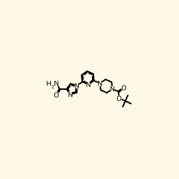 CC(C)(C)OC(=O)N1CCN(c2cccc(-n3cnc(C(N)=O)c3)n2)CC1